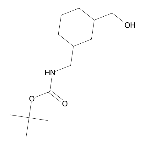 CC(C)(C)OC(=O)NCC1CCCC(CO)C1